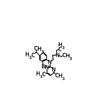 CCN(CC)CCN(c1nc(C)cc(C)n1)c1ccc(C(C)C)cc1Br